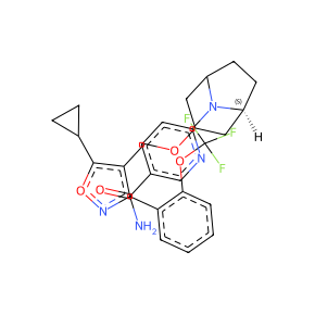 NC(=O)c1ccc(N2C3CC[C@H]2CC(OCc2c(-c4ccccc4OC(F)(F)F)noc2C2CC2)C3)nc1